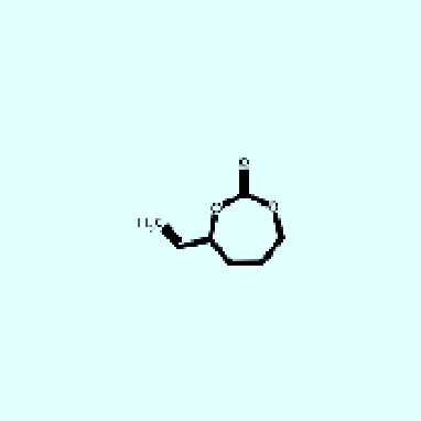 C=CC1CCCOC(=O)O1